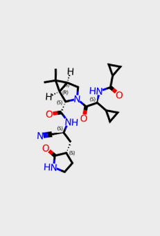 CC1(C)[C@@H]2[C@@H](C(=O)N[C@H](C#N)C[C@@H]3CCNC3=O)N(C(=O)[C@@H](NC(=O)C3CC3)C3CC3)C[C@@H]21